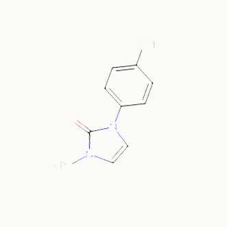 CCCn1ccn(-c2ccc(C)cc2)c1=O